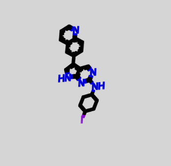 IC1CCC(Nc2ncc3c(-c4ccc5ncccc5c4)c[nH]c3n2)CC1